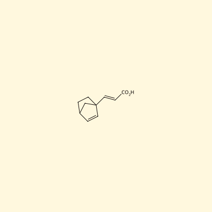 O=C(O)/C=C/C12C=CC(CC1)C2